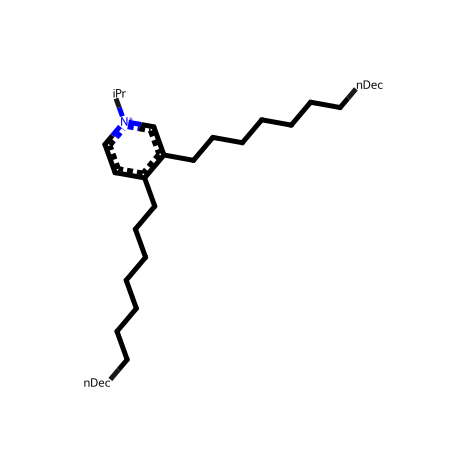 CCCCCCCCCCCCCCCCCc1cc[n+](C(C)C)cc1CCCCCCCCCCCCCCCCC